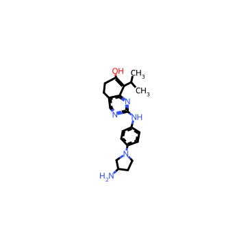 CC(C)C1=C(O)CCc2cnc(Nc3ccc(N4CCC(N)C4)cc3)nc21